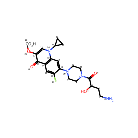 NCCC(O)C(=O)N1CCN(c2cc3c(cc2F)c(=O)c(OC(=O)O)cn3C2CC2)CC1